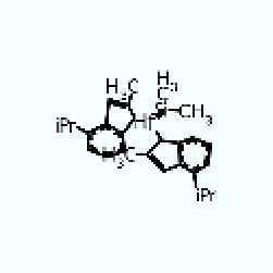 CC1=Cc2c(C(C)C)cccc2[CH]1[Hf]([CH]1C(C)=Cc2c(C(C)C)cccc21)=[Si](C)C